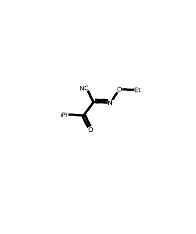 CCO/N=C(\C#N)C(=O)C(C)C